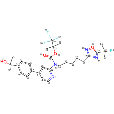 CC(C)(O)c1ccc(-c2ccnc(N(CCCCCc3noc(C(C)(C)F)n3)C(=O)OC(C)(C)C(F)(F)F)c2)cc1